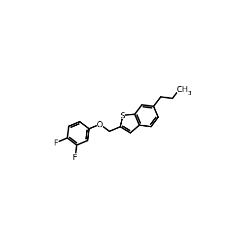 CCCc1ccc2cc(COc3ccc(F)c(F)c3)sc2c1